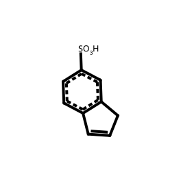 O=S(=O)(O)c1ccc2c(c1)CC=C2